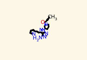 CC#CC(=O)N1CCC[C@@H](n2nc(/C=C/c3ccccn3)c3c(N)ncnc32)C1